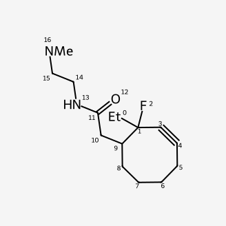 CCC1(F)C#CCCCCC1CC(=O)NCCNC